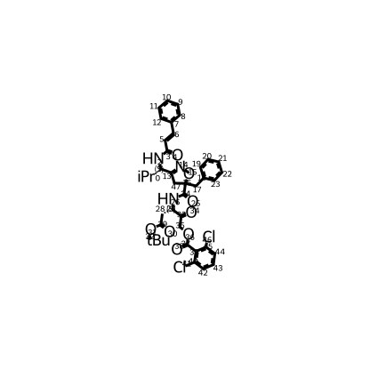 CC(C)[C@H](NC(=O)C=Cc1ccccc1)C1=NOC(Cc2ccccc2)(C(=O)N[C@@H](CC(=O)OC(C)(C)C)C(=O)COC(=O)c2c(Cl)cccc2Cl)C1